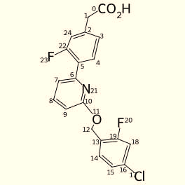 O=C(O)Cc1ccc(-c2cccc(OCc3ccc(Cl)cc3F)n2)c(F)c1